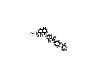 CCOC(=O)c1ccc2nccc(Nc3ccc(C(=O)NC4=CC=C(Nc5ccncc5)CC=C4)nc3)c2c1